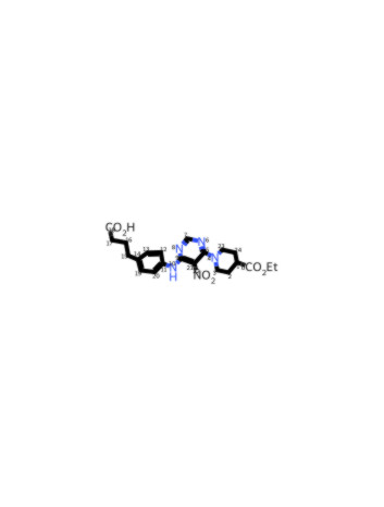 CCOC(=O)C1CCN(c2ncnc(Nc3ccc(CCCC(=O)O)cc3)c2[N+](=O)[O-])CC1